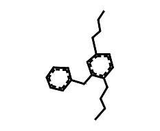 CCCCc1ccc(CCCC)c([CH]c2ccccc2)c1